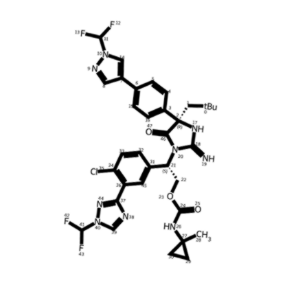 CC(C)(C)C[C@]1(c2ccc(-c3cnn(C(F)F)c3)cc2)NC(=N)N([C@H](COC(=O)NC2(C)CC2)c2ccc(Cl)c(-c3ncn(C(F)F)n3)c2)C1=O